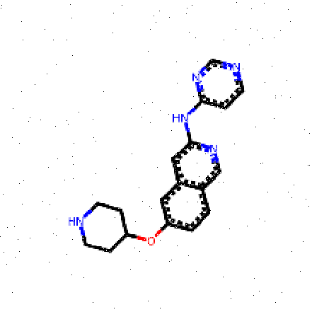 c1cc(Nc2cc3cc(OC4CCNCC4)ccc3cn2)ncn1